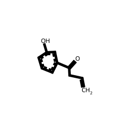 C=CCC(=O)c1cccc(O)c1